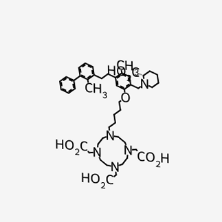 Cc1cc(CN2CCCC[C@H]2C(=O)O)c(OCCCCCN2CCN(CC(=O)O)CCN(CC(=O)O)CCN(CC(=O)O)CC2)cc1CCc1cccc(-c2ccccc2)c1C